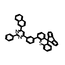 c1ccc(-c2nc(-c3cccc(-c4cccc5c4Sc4ccccc4C54c5ccccc5-c5ccccc54)c3)cc(-c3ccc4ccccc4c3)n2)cc1